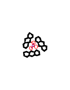 c1ccc2c(OP(Oc3c4ccccc4cc4ccccc34)Oc3c4ccccc4cc4ccccc34)c3ccccc3cc2c1